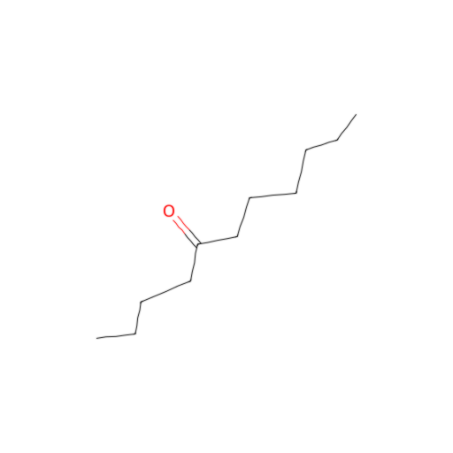 CCCCCCC(=O)CCCC